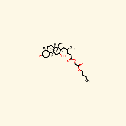 CCCCOC(=O)COC(=O)CC[C@@H](C)[C@H]1CC[C@H]2[C@@H]3CC[C@@H]4C[C@H](O)CC[C@]4(C)[C@H]3C[C@H](O)[C@]12C